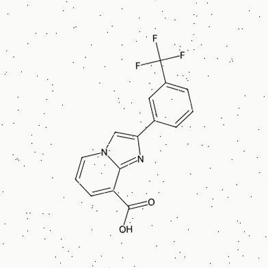 O=C(O)c1cccn2cc(-c3cccc(C(F)(F)F)c3)nc12